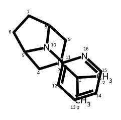 CC(C)N1CC2CCC(C1)N2c1ccccn1